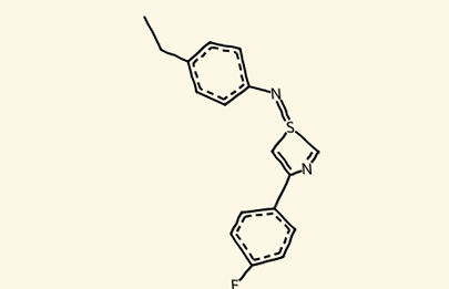 CCc1ccc(N=S2C=NC(c3ccc(F)cc3)=C2)cc1